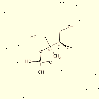 C[C@@](CO)(OP(=O)(O)O)[C@H](O)CO